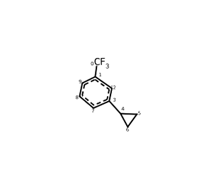 FC(F)(F)c1[c]c(C2CC2)ccc1